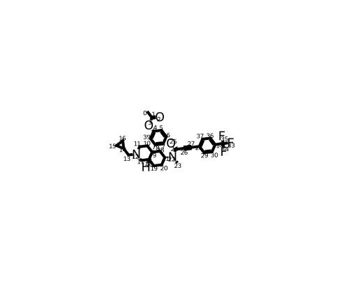 CC(=O)Oc1cccc([C@@]23CCN(CC4CC4)C[C@H]2CC[C@@H](N(C)C(=O)C#Cc2ccc(C(F)(F)F)cc2)C3)c1